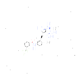 CNc1[nH]cc(C#Cc2cc(NC(=O)c3cccc(C(F)(F)F)c3)ccc2C)c1C(=N)N